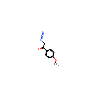 [N-]=[N+]=NCC(=O)c1ccc(OC(F)(F)F)cc1